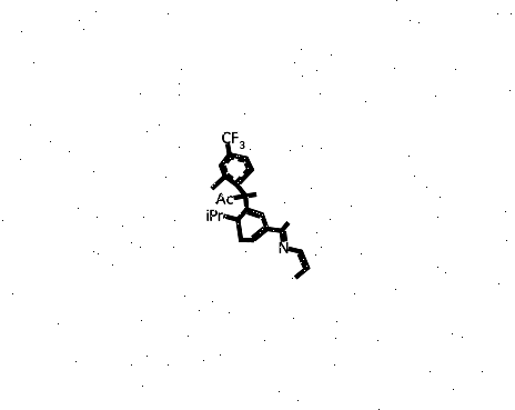 C/C=C\N=C(/C)C1=CCC(C(C)C)C(C(C)(C(C)=O)c2ccc(C(F)(F)F)cc2C)=C1